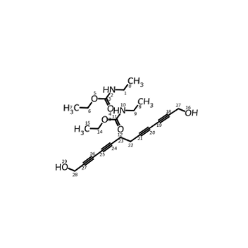 CCNC(=O)OCC.CCNC(=O)OCC.OCC#CC#CCCC#CC#CCO